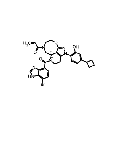 C=CC(=O)N1CCOc2nn(-c3ccc(C4CCC4)cc3O)c3c2[C@H](C1)N(C(=O)c1ccc(Br)c2[nH]cnc12)CC3